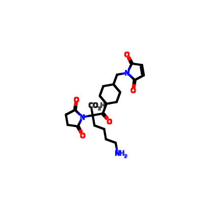 NCCCCC(C(=O)O)(C(=O)C1CCC(CN2C(=O)C=CC2=O)CC1)N1C(=O)CCC1=O